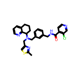 Cc1nc(CN(Cc2cccc(CNC(=O)c3ccncc3Cl)c2)C2CCCc3cccnc32)cs1